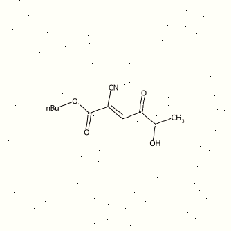 CCCCOC(=O)/C(C#N)=C/C(=O)C(C)O